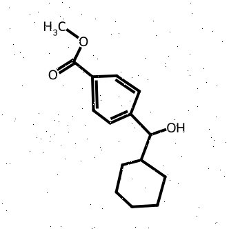 COC(=O)c1ccc(C(O)C2CCCCC2)cc1